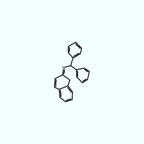 C1=Cc2ccccc2CC1=NC(c1ccccc1)c1ccccc1